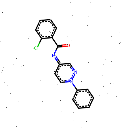 O=C(N=c1ccn(-c2ccccc2)nc1)c1ccccc1Cl